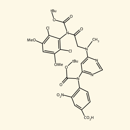 COc1cc(OC)c(Cl)c(N(C(=O)CN(C)c2cc(N(C(=O)OC(C)(C)C)c3ccc(C(=O)O)cc3[N+](=O)[O-])ncn2)C(=O)OC(C)(C)C)c1Cl